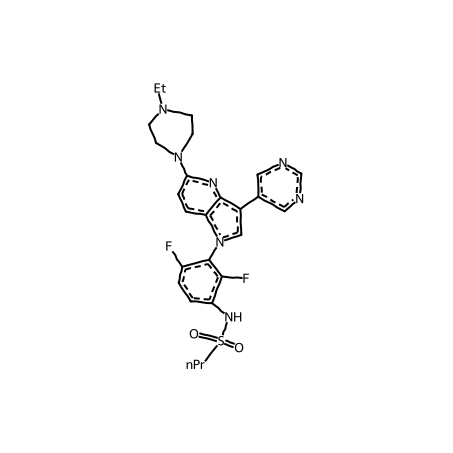 CCCS(=O)(=O)Nc1ccc(F)c(-n2cc(-c3cncnc3)c3nc(N4CCN(CC)CC4)ccc32)c1F